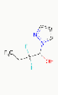 OC(n1cccn1)C(F)(F)CC(F)(F)F